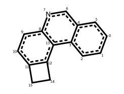 c1ccc2c(c1)cnc1ccc3c(c12)CC3